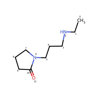 CCNCCCN1CCCC1=O